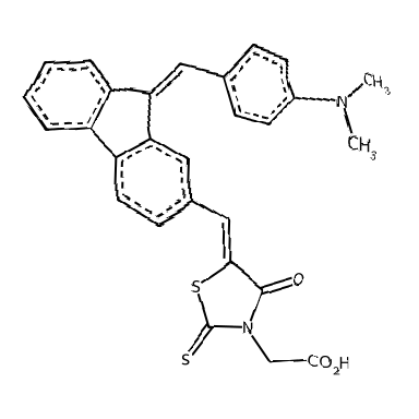 CN(C)c1ccc(C=C2c3ccccc3-c3ccc(/C=C4\SC(=S)N(CC(=O)O)C4=O)cc32)cc1